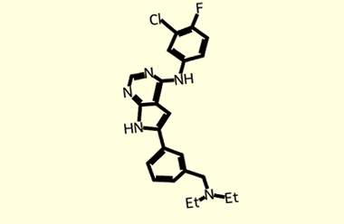 CCN(CC)Cc1cccc(-c2cc3c(Nc4ccc(F)c(Cl)c4)ncnc3[nH]2)c1